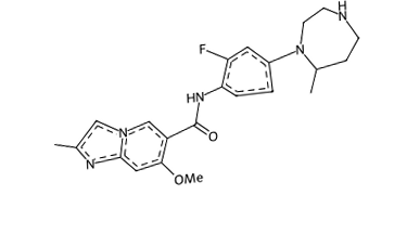 COc1cc2nc(C)cn2cc1C(=O)Nc1ccc(N2CCNCCC2C)cc1F